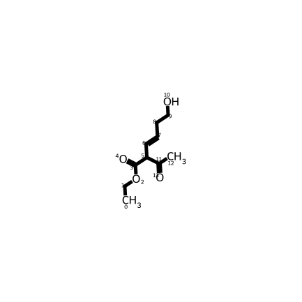 CCOC(=O)C(C=CCCO)C(C)=O